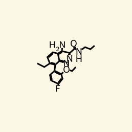 CCCNC(=O)c1nnc2c(-c3ccc(F)cc3OCC)c(CC)ccc2c1N